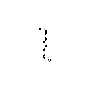 O=C(O)C=CC=CCCCCC(=O)O